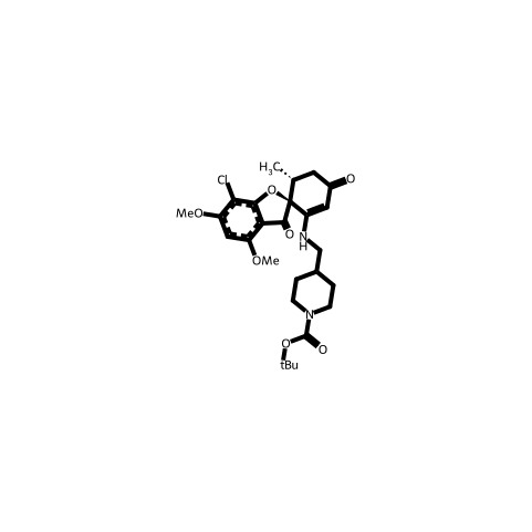 COc1cc(OC)c2c(c1Cl)O[C@]1(C2=O)C(NCC2CCN(C(=O)OC(C)(C)C)CC2)=CC(=O)C[C@H]1C